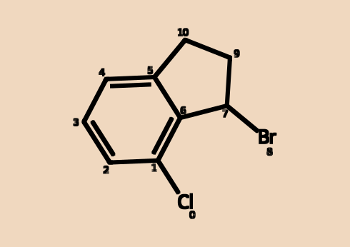 Clc1cccc2c1C(Br)CC2